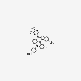 Cc1ccc2c(c1)B1c3c(cccc3N(c3ccc4c(c3)C(C)(C)CC4(C)C)c3sc4ccc(C(C)(C)C)cc4c31)N2c1ccc(C(C)(C)C)cc1